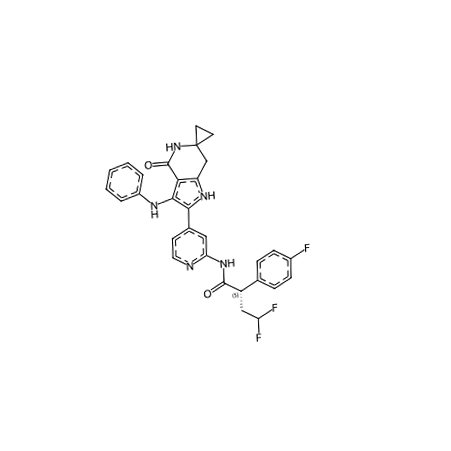 O=C1NC2(CC2)Cc2[nH]c(-c3ccnc(NC(=O)[C@@H](CC(F)F)c4ccc(F)cc4)c3)c(Nc3ccccc3)c21